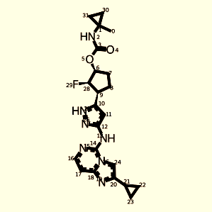 CC1(NC(=O)O[C@H]2CC[C@@H](c3cc(Nc4nccc5nc(C6CC6)cn45)n[nH]3)[C@H]2F)CC1